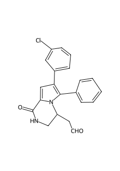 O=CCC1CNC(=O)c2cc(-c3cccc(Cl)c3)c(-c3ccccc3)n21